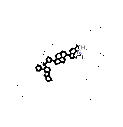 C=CC1C=Cc2c(C3=CC=C4CCC5=C(c6cccc(-c7nc8ccccc8c8c7ccc7c9ccccc9oc78)c6)C=CC6=CC=C3C4C65)ccnc2C1/N=C\C